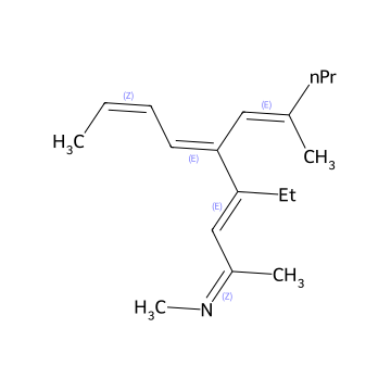 C\C=C/C=C(\C=C(/C)CCC)C(=C/C(C)=N\C)/CC